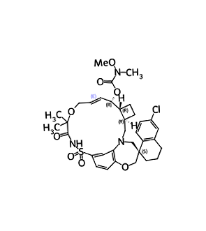 CON(C)C(=O)O[C@H]1/C=C/COC(C)(C)C(=O)NS(=O)(=O)c2ccc3c(c2)N(C[C@@H]2CC[C@H]21)C[C@@]1(CCCc2cc(Cl)ccc21)CO3